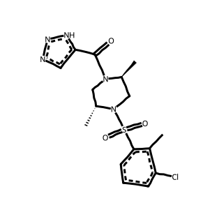 Cc1c(Cl)cccc1S(=O)(=O)N1C[C@H](C)N(C(=O)c2cnn[nH]2)C[C@H]1C